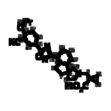 CCOC(=O)C1(CN2CCC3(CCc4c(-c5noc(-c6ccc(OC(C)C)c(C#N)c6)n5)cccc43)C2)CC1